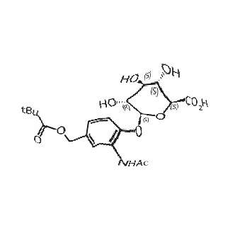 CC(=O)Nc1cc(COC(=O)C(C)(C)C)ccc1O[C@@H]1O[C@H](C(=O)O)[C@@H](O)[C@H](O)[C@H]1O